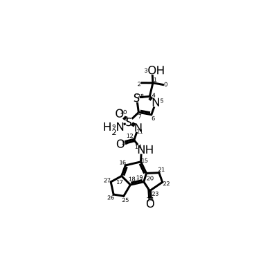 CC(C)(O)c1ncc(S(N)(=O)=NC(=O)Nc2cc3c(c4c2CCC4=O)CCC3)s1